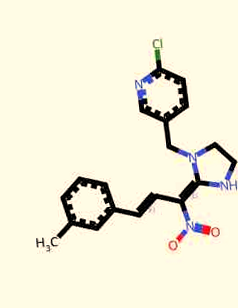 Cc1cccc(/C=C/C(=C2/NCCN2Cc2ccc(Cl)nc2)[N+](=O)[O-])c1